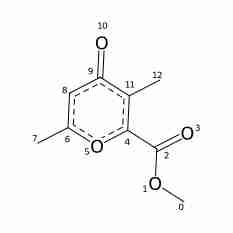 COC(=O)c1oc(C)cc(=O)c1C